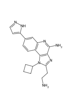 NCCc1nc2c(N)nc3cc(-c4ccn[nH]4)ccc3c2n1C1CCC1